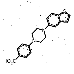 O=C(O)c1ccc(N2CCN(c3ccc4sccc4c3)CC2)cc1